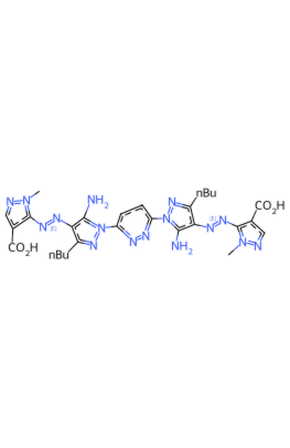 CCCCc1nn(-c2ccc(-n3nc(CCCC)c(/N=N/c4c(C(=O)O)cnn4C)c3N)nn2)c(N)c1/N=N/c1c(C(=O)O)cnn1C